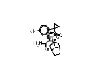 NC(=O)c1cccnc1N1C2CCC1CC(NC(=O)C1(c3ccc(Cl)cc3)CC1)C2